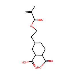 C=C(C)C(=O)OCCC1CCC(C(=O)O)C(C(=O)O)C1